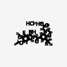 CCOc1cc2c(c(F)c1OC)C(=N)N(CC(=O)c1cc3c(c(C(C)(C)C)c1)OCCN3CC(=O)O)C2.Cl